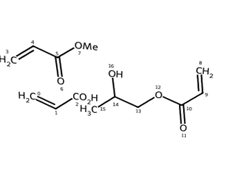 C=CC(=O)O.C=CC(=O)OC.C=CC(=O)OCC(C)O